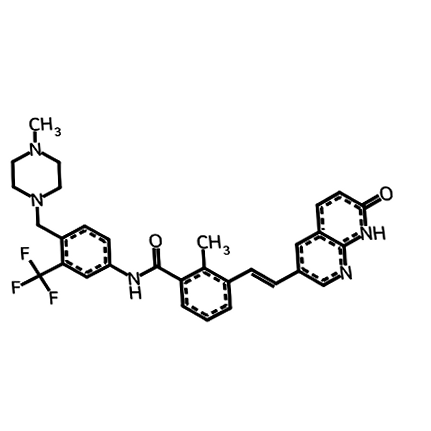 Cc1c(C=Cc2cnc3[nH]c(=O)ccc3c2)cccc1C(=O)Nc1ccc(CN2CCN(C)CC2)c(C(F)(F)F)c1